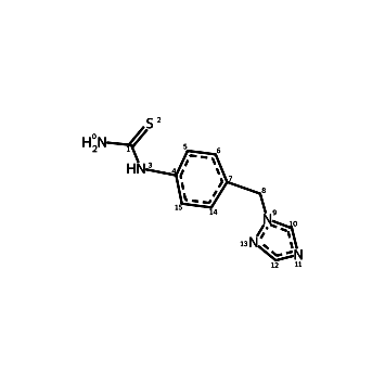 NC(=S)Nc1ccc(Cn2cncn2)cc1